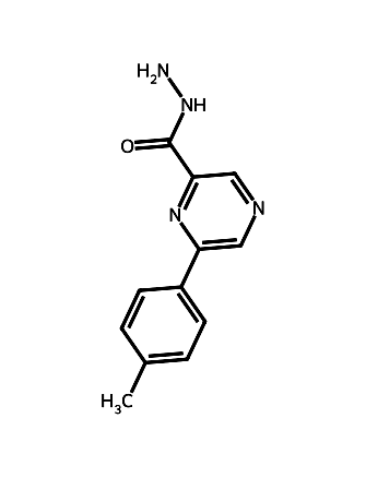 Cc1ccc(-c2cncc(C(=O)NN)n2)cc1